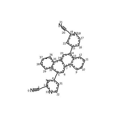 N#Cc1cc(-c2cc3c4ccccc4c(-c4ccnc(C#N)c4)cc3c3ccccc23)ccn1